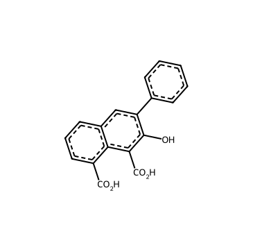 O=C(O)c1cccc2cc(-c3ccccc3)c(O)c(C(=O)O)c12